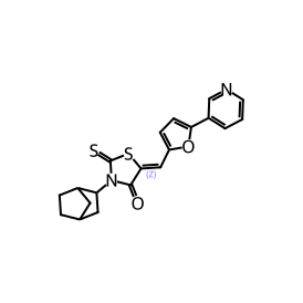 O=C1/C(=C/c2ccc(-c3cccnc3)o2)SC(=S)N1C1CC2CCC1C2